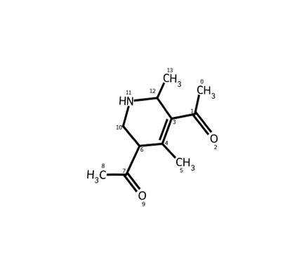 CC(=O)C1=C(C)C(C(C)=O)CNC1C